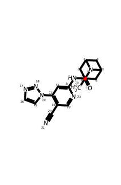 CC1CC2CC(C1)N2C(=O)Nc1cc(-n2ccnn2)c(C#N)cn1